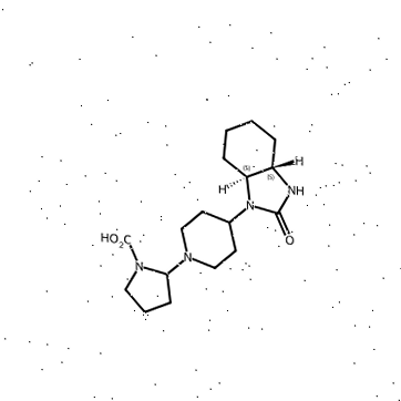 O=C(O)N1CCCC1N1CCC(N2C(=O)N[C@H]3CCCC[C@@H]32)CC1